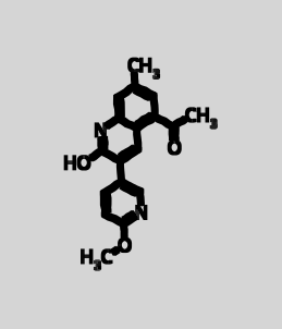 COc1ccc(-c2cc3c(C(C)=O)cc(C)cc3nc2O)cn1